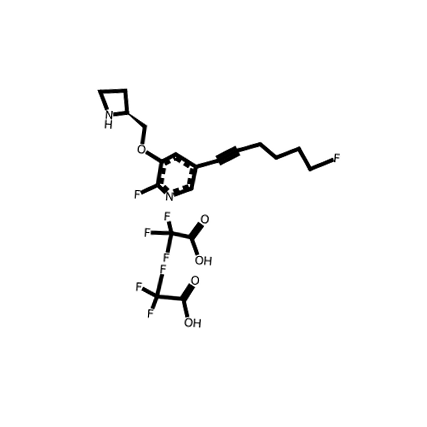 FCCCCC#Cc1cnc(F)c(OC[C@@H]2CCN2)c1.O=C(O)C(F)(F)F.O=C(O)C(F)(F)F